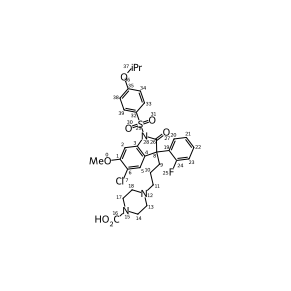 COc1cc2c(cc1Cl)C(CCCN1CCN(C(=O)O)CC1)(c1ccccc1F)C(=O)N2S(=O)(=O)c1ccc(OC(C)C)cc1